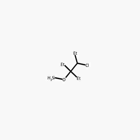 CCC(Cl)C(CC)(CC)O[SiH3]